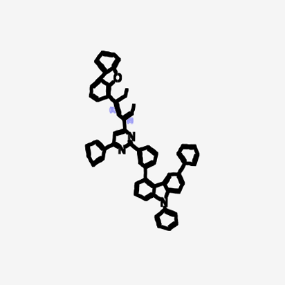 C/C=C(\C=C(/CC)c1cccc2c1oc1ccccc12)c1cc(-c2ccccc2)nc(-c2cccc(-c3cccc4c3c3cc(-c5ccccc5)ccc3n4-c3ccccc3)c2)n1